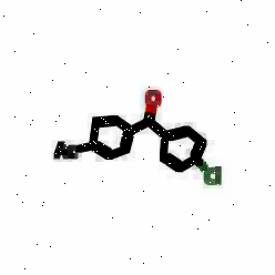 CC(=O)c1ccc(C(=O)c2ccc(Cl)cc2)cc1